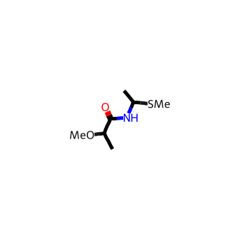 COC(C)C(=O)NC(C)SC